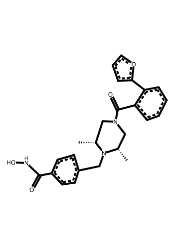 C[C@@H]1CN(C(=O)c2ccccc2-c2ccco2)C[C@H](C)N1Cc1ccc(C(=O)NO)cc1